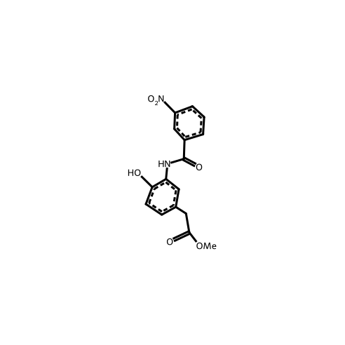 COC(=O)Cc1ccc(O)c(NC(=O)c2cccc([N+](=O)[O-])c2)c1